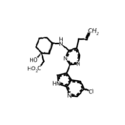 C=CCc1cnc(-c2c[nH]c3ncc(Cl)cc23)nc1NC1CCC[C@@](O)(CC(=O)O)C1